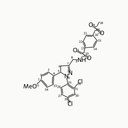 COc1ccc(C2CC(CNS(=O)(=O)c3ccc(S(C)(=O)=O)cc3)=NN2c2ccc(Cl)cc2Cl)cc1